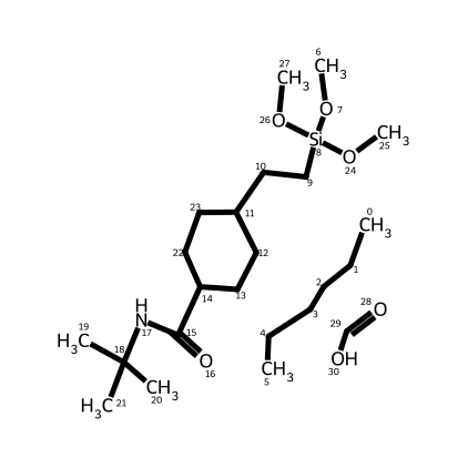 CCCCCC.CO[Si](CCC1CCC(C(=O)NC(C)(C)C)CC1)(OC)OC.O=CO